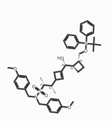 COc1ccc(CN(Cc2ccc(OC)cc2)S(=O)(=O)[C@H](C)[C@@H](C)C2C=C([C@H](O)[C@@H]3CC[C@H]3CO[Si](c3ccccc3)(c3ccccc3)C(C)(C)C)C2)cc1